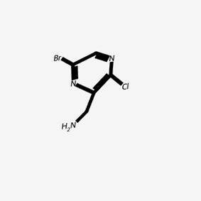 NCc1nc(Br)cnc1Cl